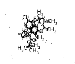 CCCCOC(=O)N1CC2CC1C2N(C(=O)OC(C)(C)C)c1c(N)c(O[C@@H](C)[C@@H]2CCCN2C)nc2c(F)c(Cl)ncc12